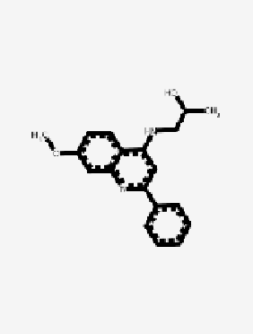 COc1ccc2c(NCC(C)O)cc(-c3ccccc3)nc2c1